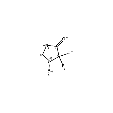 O=C1NC[C@@H](O)C1(F)F